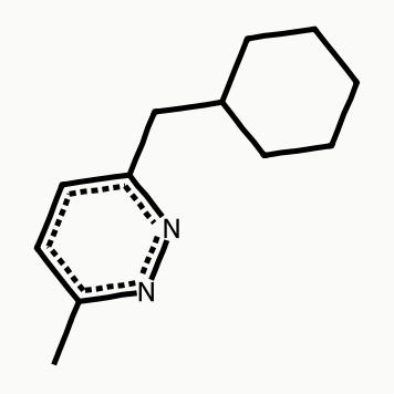 Cc1ccc(CC2CCCCC2)nn1